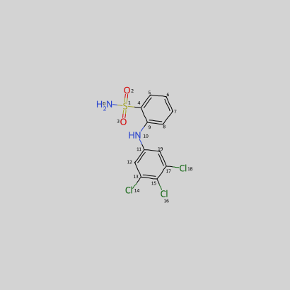 NS(=O)(=O)c1ccccc1Nc1cc(Cl)c(Cl)c(Cl)c1